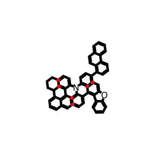 c1ccc(N(c2ccc(-c3cccc4c3ccc3ccccc34)cc2)c2ccccc2-c2cccc3oc4ccccc4c23)c(-c2cccc3cccc(C4CCCCC4)c23)c1